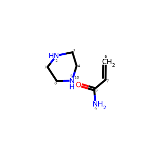 C1CNCCN1.C=CC(N)=O